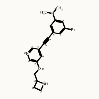 CN(C)c1cc(F)cc(C#Cc2cncc(OCC3CCN3)c2)c1